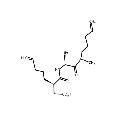 C=CCCC[C@H](CC(=O)O)C(=O)N[C@H](C(=O)N(C)CCCC=C)C(C)C